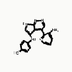 Nc1cccnc1-c1cnnc2[nH]cc(Nc3ccc(O)cc3)c12